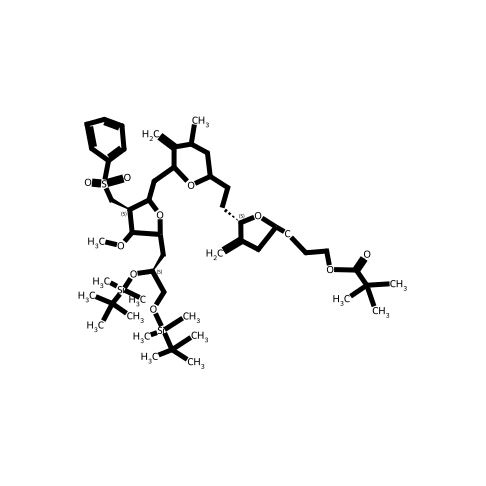 C=C1C(C)CC(CC[C@@H]2OC(CCCOC(=O)C(C)(C)C)CC2=C)OC1CC1OC(C[C@@H](CO[Si](C)(C)C(C)(C)C)O[Si](C)(C)C(C)(C)C)C(OC)[C@H]1CS(=O)(=O)c1ccccc1